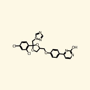 Oc1nccc(-c2ccc(OCC3COC(Cn4cncn4)(c4ccc(Cl)cc4Cl)O3)cc2)n1